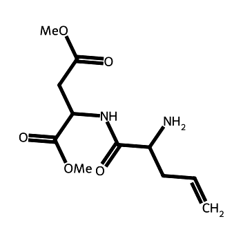 C=CCC(N)C(=O)NC(CC(=O)OC)C(=O)OC